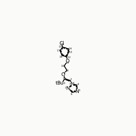 CC(C)(C)C(=Cn1cncn1)OCCOc1ccc(Cl)cc1